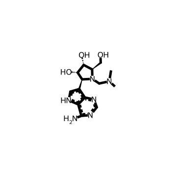 CN(C)CN1[C@H](CO)[C@@H](O)[C@@H](O)[C@@H]1c1c[nH]c2c(N)ncnc12